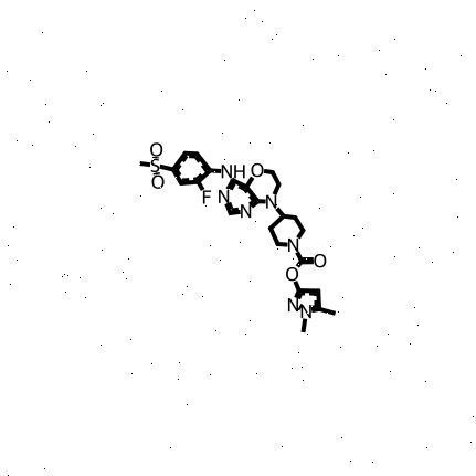 Cc1cc(OC(=O)N2CCC(N3CCOc4c(Nc5ccc(S(C)(=O)=O)cc5F)ncnc43)CC2)nn1C